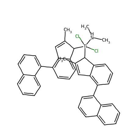 CC1=Cc2c(-c3cccc4ccccc34)cccc2[CH]1[Ti]([Cl])([Cl])([CH]1C(C)=Cc2c(-c3cccc4ccccc34)cccc21)[SiH](C)C